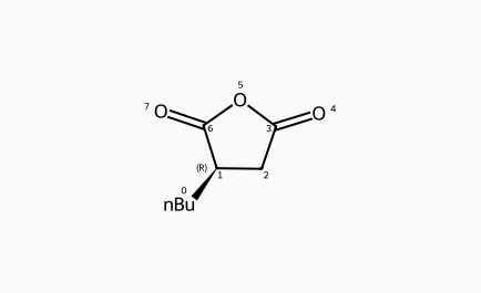 CCCC[C@@H]1CC(=O)OC1=O